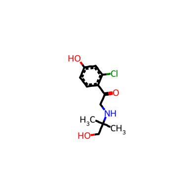 CC(C)(CO)NCC(=O)c1ccc(O)cc1Cl